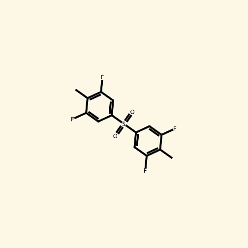 Cc1c(F)cc(S(=O)(=O)c2cc(F)c(C)c(F)c2)cc1F